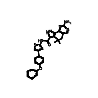 CC1(C)Cc2cnc(N)nc2-c2[nH]nc(C(=O)Nc3nc(-c4ccc(Oc5ccccc5)cc4)cs3)c21